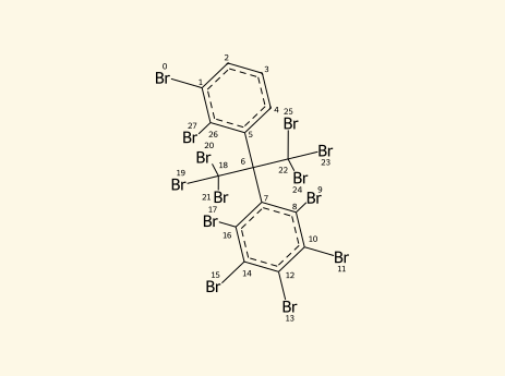 Brc1cccc(C(c2c(Br)c(Br)c(Br)c(Br)c2Br)(C(Br)(Br)Br)C(Br)(Br)Br)c1Br